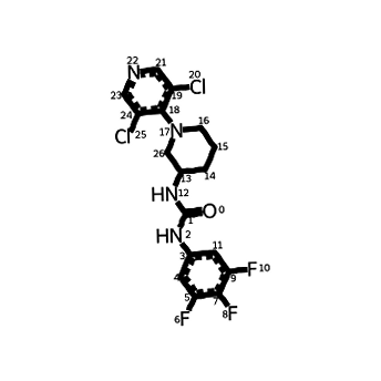 O=C(Nc1cc(F)c(F)c(F)c1)NC1CCCN(c2c(Cl)cncc2Cl)C1